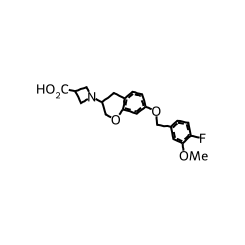 COc1cc(COc2ccc3c(c2)OCC(N2CC(C(=O)O)C2)C3)ccc1F